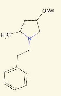 COC1CC(C)N(CCc2ccccc2)C1